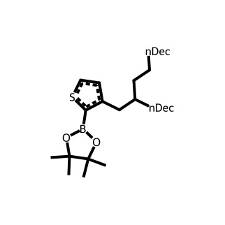 CCCCCCCCCCCCC(CCCCCCCCCC)Cc1ccsc1B1OC(C)(C)C(C)(C)O1